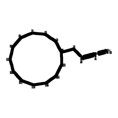 [N-]=[N+]=NCC1CCCCCCCCCCCC1